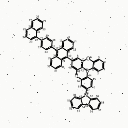 c1ccc2c(c1)Oc1cc(-c3c4ccccc4c(-c4ccc(-c5cccc6ccccc56)cc4)c4ccccc34)cc3c1B2c1ccc(-n2c4ccccc4c4ccccc42)cc1O3